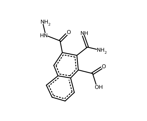 N=C(N)c1c(C(=O)NN)cc2ccccc2c1C(=O)O